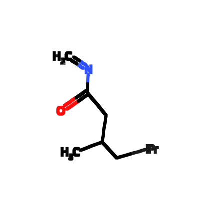 C=NC(=O)CC(C)CC(C)C